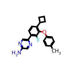 Cc1ccc(Oc2c(C3CCC3)ccc(-c3cnc(N)cn3)c2F)cc1